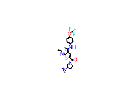 C=C/N=C1/SC(C(=O)N2CCC(N(C)C)C2)=C/C1=C(/C)Nc1ccc(OC(F)(F)F)cc1